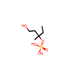 CCC(C)(CCO)OP(=O)(O)O